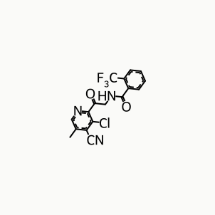 Cc1cnc(C(=O)CNC(=O)c2ccccc2C(F)(F)F)c(Cl)c1C#N